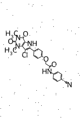 Cn1c(=O)c2[nH]c(-c3ccc(OCC(=O)Nc4ccc(C#N)cc4)cc3)c(Cl)c2n(C)c1=O